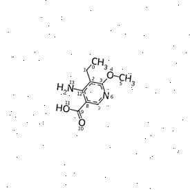 CCc1c(OC)ncc(C(=O)O)c1N